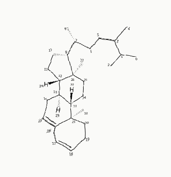 CC(C)C(C)CC[C@@H](C)[C@H]1CC[C@H]2[C@@H]3CC=C4C=CCC[C@]4(C)[C@H]3CC[C@]12C